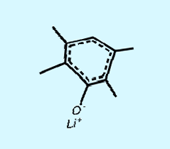 Cc1cc(C)c(C)c([O-])c1C.[Li+]